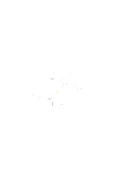 Oc1c(Cc2ccccc2)cc(CSSCc2cc(Cc3ccccc3)c(O)c(Cc3ccccc3)c2)cc1Cc1ccccc1